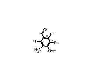 COc1c(N)c(F)c(C=O)c(F)c1F